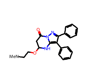 CNCCOC1CC(=O)n2nc(-c3ccccc3)c(-c3ccccc3)c2N1